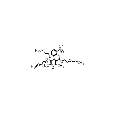 CCCOCCOC(=O)C1=C(C)NC(C)=C(P(=O)(OCCOC)OCCOC)C1c1cccc([N+](=O)[O-])c1